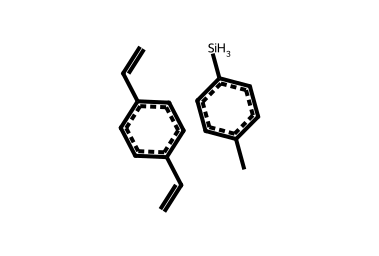 C=Cc1ccc(C=C)cc1.Cc1ccc([SiH3])cc1